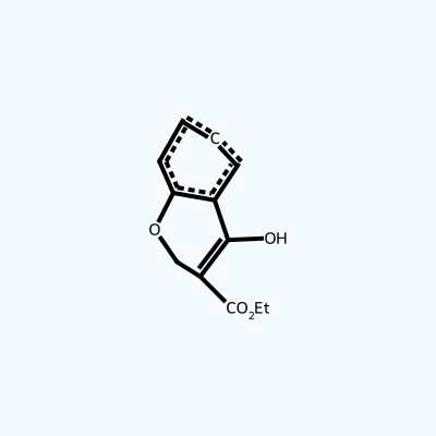 CCOC(=O)C1=C(O)c2ccccc2OC1